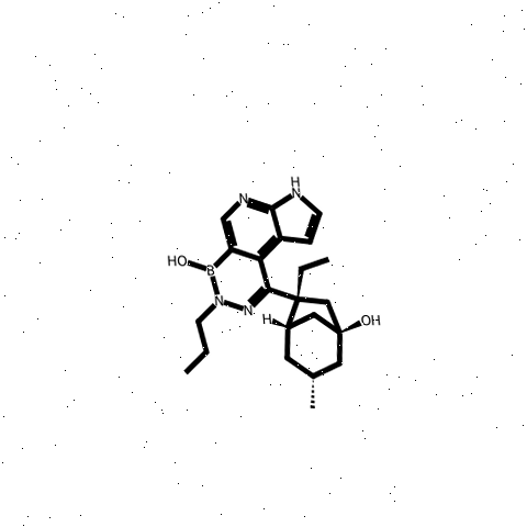 CCCN1N=C([C@]2(CC)C[C@]3(O)C[C@H](C)C[C@H]2C3)c2c(cnc3[nH]ccc23)B1O